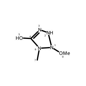 CON1NN=C(O)N1C